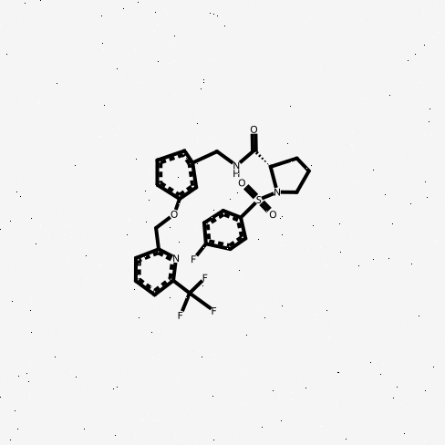 O=C(NCc1cccc(OCc2cccc(C(F)(F)F)n2)c1)[C@@H]1CCCN1S(=O)(=O)c1ccc(F)cc1